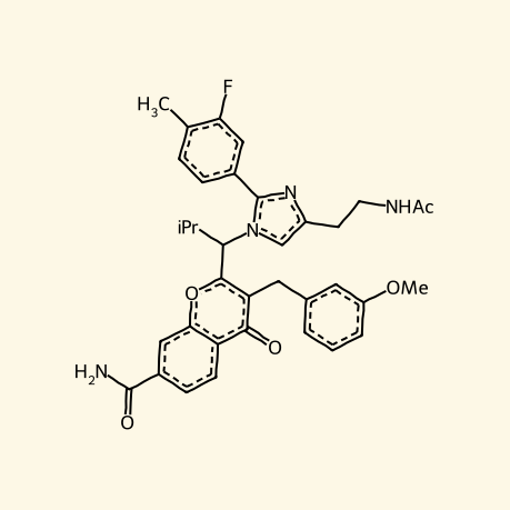 COc1cccc(Cc2c(C(C(C)C)n3cc(CCNC(C)=O)nc3-c3ccc(C)c(F)c3)oc3cc(C(N)=O)ccc3c2=O)c1